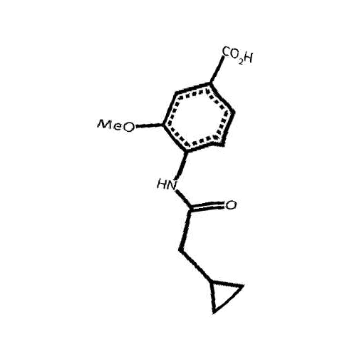 COc1cc(C(=O)O)ccc1NC(=O)CC1CC1